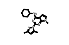 Cc1cc(C)n(-c2nc(NC3CCCCC3)c3ccn(C)c3n2)n1